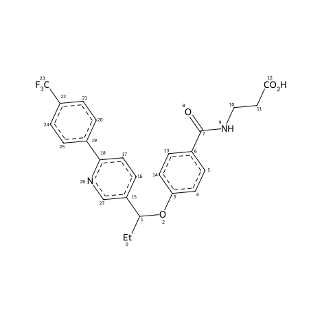 CCC(Oc1ccc(C(=O)NCCC(=O)O)cc1)c1ccc(-c2ccc(C(F)(F)F)cc2)nc1